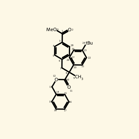 COC(=O)c1ccc(CC(C)(C(=O)OCc2ccccc2)c2ccc(C(C)(C)C)cc2)cc1